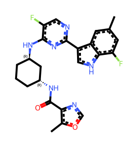 Cc1cc(F)c2[nH]cc(-c3ncc(F)c(N[C@@H]4CCC[C@@H](NC(=O)c5ncoc5C)C4)n3)c2c1